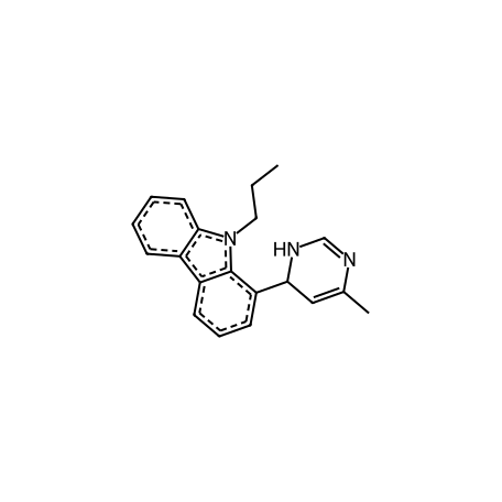 CCCn1c2ccccc2c2cccc(C3C=C(C)N=CN3)c21